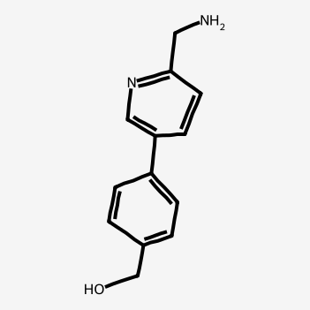 NCc1ccc(-c2ccc(CO)cc2)cn1